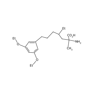 CCOc1cc(CCCC(CC)CC(C)(N)C(=O)O)cc(OCC)c1